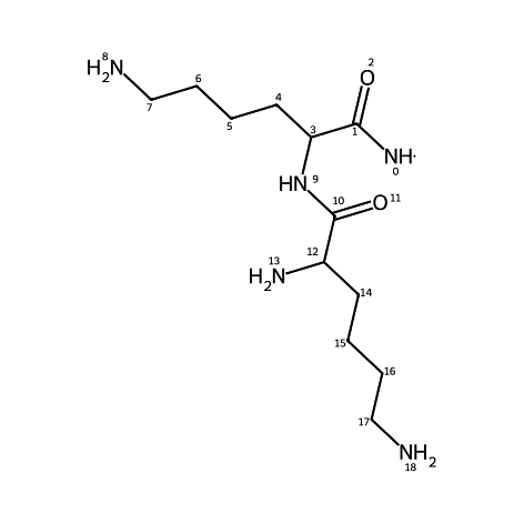 [NH]C(=O)C(CCCCN)NC(=O)C(N)CCCCN